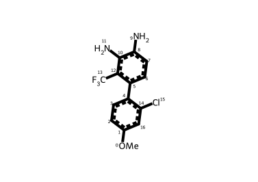 COc1ccc(-c2ccc(N)c(N)c2C(F)(F)F)c(Cl)c1